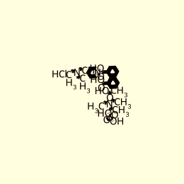 CC(=O)O.CCN(CC)CC.CCN(CC)CC.Cl.O=C(O)c1ccccc1.O=C(O)c1ccccc1.O=S(=O)(O)O.c1ccncc1